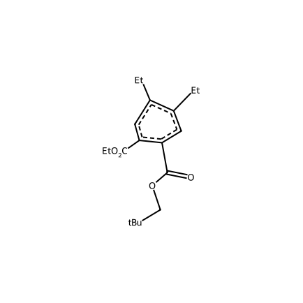 CCOC(=O)c1cc(CC)c(CC)cc1C(=O)OCC(C)(C)C